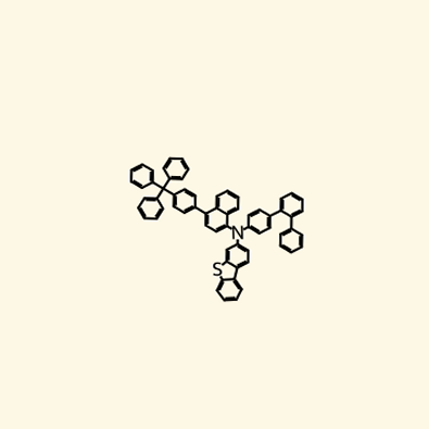 c1ccc(-c2ccccc2-c2ccc(N(c3ccc4c(c3)sc3ccccc34)c3ccc(-c4ccc(C(c5ccccc5)(c5ccccc5)c5ccccc5)cc4)c4ccccc34)cc2)cc1